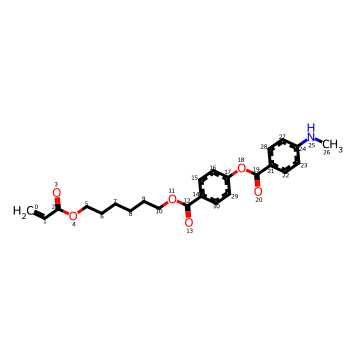 C=CC(=O)OCCCCCCOC(=O)c1ccc(OC(=O)c2ccc(NC)cc2)cc1